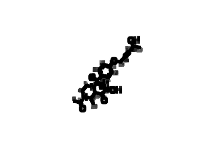 CC(=O)N1CCN(S(=O)(=O)c2ccc(OCC#CC(C)O)cc2)C(C(=O)NO)C1C